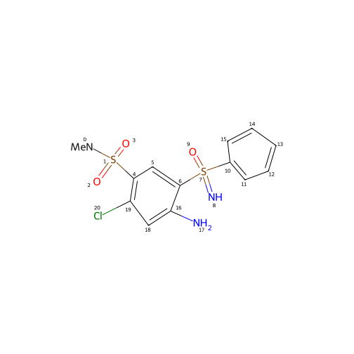 CNS(=O)(=O)c1cc(S(=N)(=O)c2ccccc2)c(N)cc1Cl